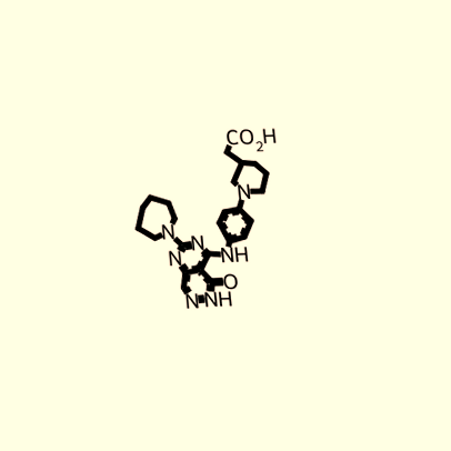 O=C(O)CC1CCCN(c2ccc(Nc3nc(N4CCCCCC4)nc4cn[nH]c(=O)c34)cc2)C1